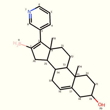 BC1=C(c2cccnc2)C2(C)CCC3C(CC=C4CC(O)CCC43C)C2C1